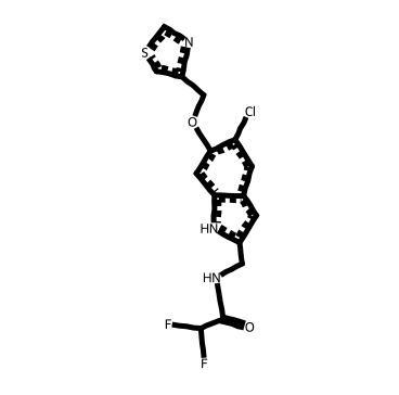 O=C(NCc1cc2cc(Cl)c(OCc3cscn3)cc2[nH]1)C(F)F